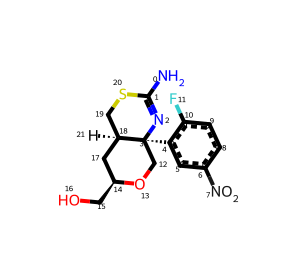 NC1=N[C@@]2(c3cc([N+](=O)[O-])ccc3F)CO[C@@H](CO)C[C@H]2CS1